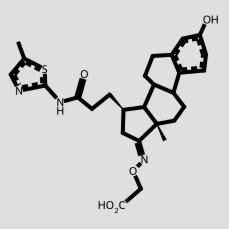 Cc1cnc(NC(=O)CC[C@@H]2C/C(=N\OCC(=O)O)[C@@]3(C)CCC4c5ccc(O)cc5CCC4C23)s1